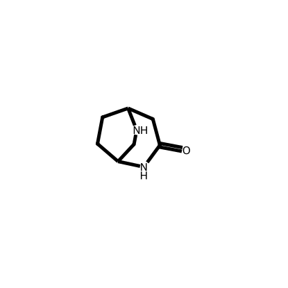 O=C1CC2CCC(CN2)N1